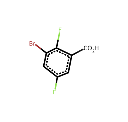 O=C(O)c1cc(F)cc(Br)c1F